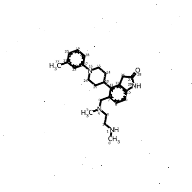 CNCCN(C)Cc1ccc2c(c1C1CCN(c3cccc(C)c3)CC1)CC(=O)N2